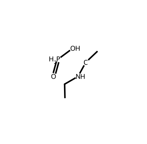 CCNCC.O=[PH2]O